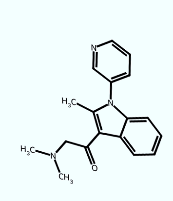 Cc1c(C(=O)CN(C)C)c2ccccc2n1-c1cccnc1